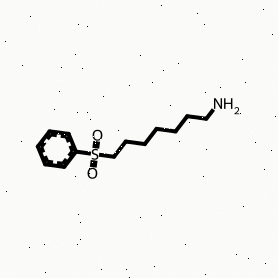 NCCCCCCCS(=O)(=O)c1ccccc1